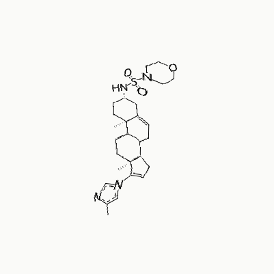 Cc1cn(C2=CCC3C4CC=C5C[C@@H](NS(=O)(=O)N6CCOCC6)CC[C@]5(C)C4CC[C@]23C)cn1